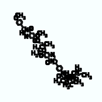 CCCC(C)(N)C(=O)NC(C(=O)NC(C)C(=O)Nc1ccc(C2=CN3C(=O)c4cc(OC)c(OCC(C)(C)CCOOc5cc6c(cc5OC)C(=O)N5C=C(c7ccc(OC)cc7)C[C@H]5C=N6)cc4N=CC3C2)cc1)C(C)C